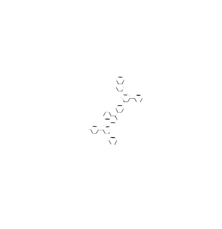 Cc1ccc(-c2cc(-c3ccc(C)cc3)nc(-c3ccc(-c4ccc(-c5cc(-c6ccccc6)nc(-c6ccc7ccccc7n6)n5)cc4)c4ccccc34)n2)cc1